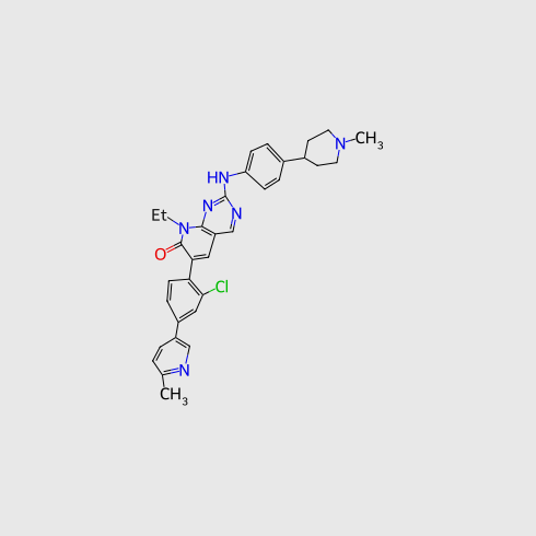 CCn1c(=O)c(-c2ccc(-c3ccc(C)nc3)cc2Cl)cc2cnc(Nc3ccc(C4CCN(C)CC4)cc3)nc21